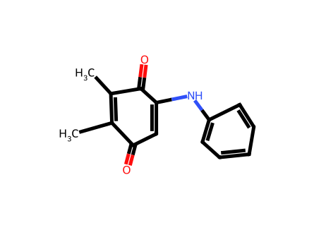 CC1=C(C)C(=O)C(Nc2ccccc2)=CC1=O